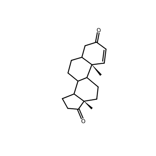 C[C@]12C=CC(=O)CC1CCC1C2CC[C@]2(C)C(=O)CCC12